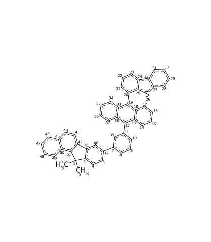 CC1(C)c2ccc(-c3cccc(-c4c5ccccc5c(-c5cccc6c5sc5ccccc56)c5ccccc45)c3)cc2-c2ccc3ccccc3c21